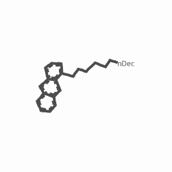 CCCCCCCCCCCCCCC[CH]c1cccc2cc3ccccc3cc12